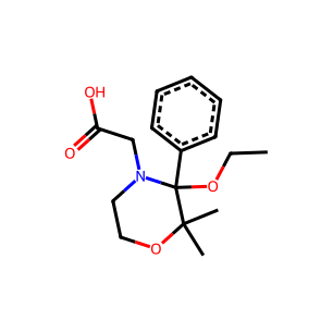 CCOC1(c2ccccc2)N(CC(=O)O)CCOC1(C)C